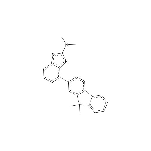 CN(C)c1nc2c(-c3ccc4c(c3)C(C)(C)c3ccccc3-4)cccc2s1